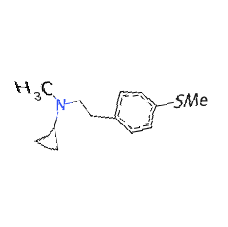 CSc1ccc(CCN(C)C2CC2)cc1